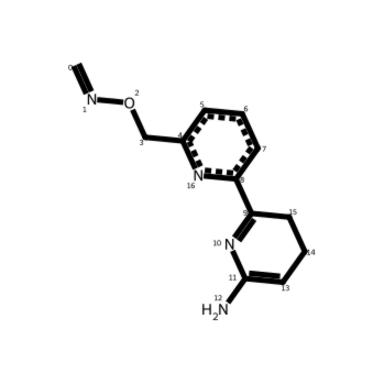 C=NOCc1cccc(C2=NC(N)=CCC2)n1